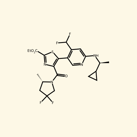 CCOC(=O)c1nc(C(=O)N2CC(F)(F)C[C@@H]2C)c(-c2cnc(N[C@@H](C)C3CC3)cc2C(F)F)s1